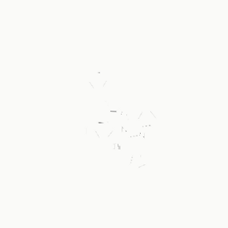 O=C(OCc1ccccc1)c1cc(Cl)cc(Cl)c1-n1c(C(Br)c2ccco2)nc2ccccc2c1=O